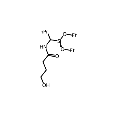 CCCC(NC(=O)CCCO)[SiH](OCC)OCC